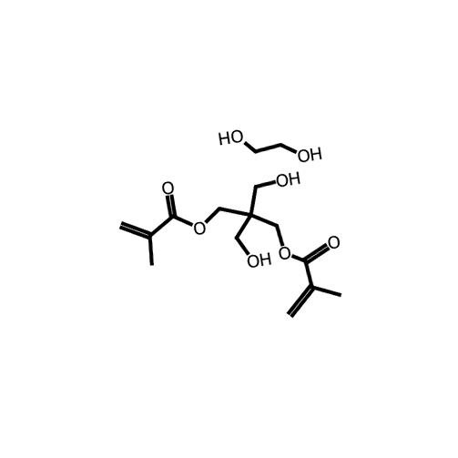 C=C(C)C(=O)OCC(CO)(CO)COC(=O)C(=C)C.OCCO